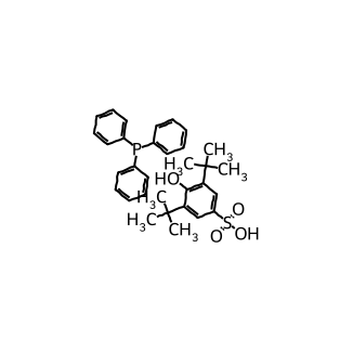 CC(C)(C)c1cc(S(=O)(=O)O)cc(C(C)(C)C)c1O.c1ccc(P(c2ccccc2)c2ccccc2)cc1